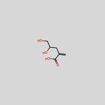 C=C(CC(O)CO)C(=O)O